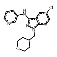 Clc1ccc2c(c1)c(Nc1cccnc1)nn2CC1CCOCC1